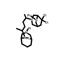 CCC1(CC)CC2CN(C(C)CCC(C)N3CC4CCCC3CN(C(C)C)C4)CC1N(C(C)C)C2